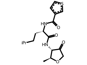 CC(C)CC[C@H](NC(=O)c1ccsc1)C(=O)N[C@@H]1C(=O)CO[C@H]1C